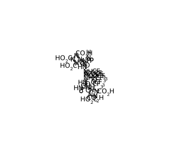 O=C(O)CN1CCN(CC(=O)O)CCN(CC(=O)NC(Cc2c[nH]c3ccccc23)C(=O)C(=O)NCCNCN(CNCCNC(=O)C(=O)C(Cc2c[nH]c3ccccc23)NC(=O)CN2CCN(CC(=O)O)CCN(CC(=O)O)CCN(CC(=O)O)CC2)C(=O)COCC(COC(C(F)(F)F)(C(F)(F)F)C(F)(F)F)(COC(C(F)(F)F)(C(F)(F)F)C(F)(F)F)COC(C(F)(F)F)(C(F)(F)F)C(F)(F)F)CCN(CC(=O)O)CC1